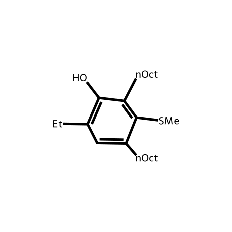 CCCCCCCCc1cc(CC)c(O)c(CCCCCCCC)c1SC